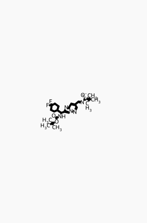 CC(C)(C)OC(=O)N[C@H](c1cn2ncc(/C=N/[S@+]([O-])C(C)(C)C)cc2n1)C1CCC(F)(F)CC1